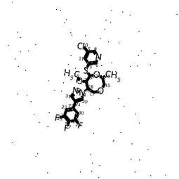 COC1C(Sc2cncc(Cl)c2)OC(C)COC[C@H]1n1cc(-c2cc(F)c(F)c(F)c2)cn1